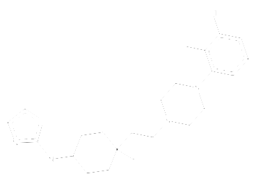 FC1(CCN2CCN(c3cccc(Cl)c3Cl)CC2)CCC(Nc2ncco2)CC1